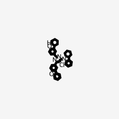 Clc1c(-c2ccc3oc4ccccc4c3c2)nc(-c2ccc3c(c2)C2CCCC[C@@H]2O3)nc1N1c2ccccc2C2CCCCC21